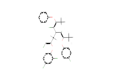 CC(C)(C)C(Oc1ccccc1)=C(Cl)C(C(Cl)=C(Oc1ccc(Cl)cc1)C(C)(C)C)C(C)(C)C(=CCl)Oc1ccc(Cl)cc1Cl